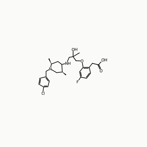 C[C@H]1CN(Cc2ccc(Cl)cc2)[C@@H](C)CC1NCC(C)(O)COc1cc(F)ccc1CC(=O)O